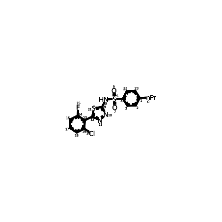 CCCc1ccc(S(=O)(=O)Nc2nnc(-c3c(F)cccc3Cl)s2)cc1